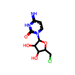 N=c1ccn(C2OC(CCl)C(O)C2O)c(=O)[nH]1